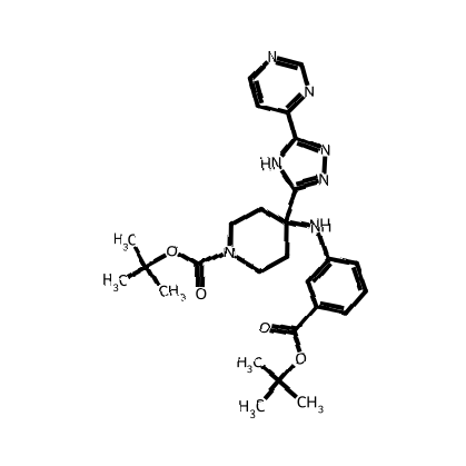 CC(C)(C)OC(=O)c1cccc(NC2(c3nnc(-c4ccncn4)[nH]3)CCN(C(=O)OC(C)(C)C)CC2)c1